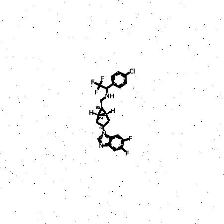 Fc1cc2ncn([C@H]3C[C@@H]4[C@@H](CNC(c5ccc(Cl)cc5)C(F)(F)F)[C@@H]4C3)c2cc1F